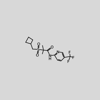 CC(C)(C(=O)Nc1ccc(C(F)(F)F)cn1)S(=O)(=O)CC1CCC1